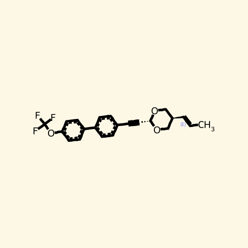 C/C=C/[C@H]1CO[C@H](C#Cc2ccc(-c3ccc(OC(F)(F)F)cc3)cc2)OC1